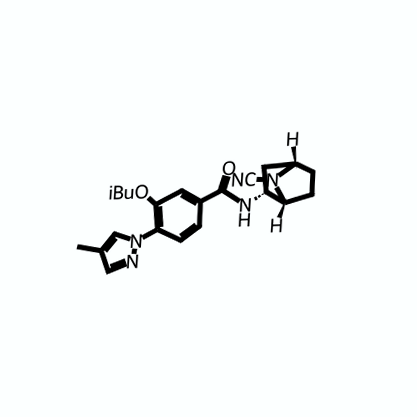 Cc1cnn(-c2ccc(C(=O)N[C@@H]3C[C@@H]4CC[C@H]3N4C#N)cc2OCC(C)C)c1